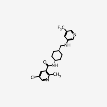 Cc1ncc(Cl)cc1C(=O)N[C@H]1CC[C@H](CNc2cncc(C(F)(F)F)c2)CC1